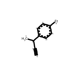 [C]#CC(C)c1ccc(CC)cc1